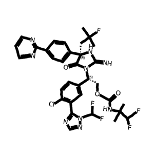 CC(C)(F)C[C@]1(c2ccc(-c3ncccn3)cc2)NC(=N)N([C@H](COC(=O)NC(C)(C)C(F)F)c2ccc(Cl)c(-c3ncnn3C(F)F)c2)C1=O